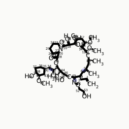 C=CC[C@@H]1/C=C(\C)C[C@H](C)C[C@H](OC)[C@H]2O[C@@](O)(C(=O)C(=O)N3CCCC[C@H]3C(=O)O[C@H](/C(C)=C/[C@@H]3CC[C@@H](O)[C@H](OC)C3)[C@H](C)[C@@H](O)C/C1=N/OCCO)[C@H](C)C[C@@H]2OC